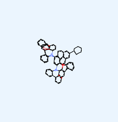 c1ccc(-c2ccccc2N(c2cc(N(c3ccccc3-c3ccccc3)c3cccc4c3oc3ccccc34)c3ccc4cc(C5CCCCC5)cc5ccc2c3c54)c2cccc3c2oc2ccccc23)cc1